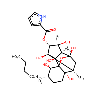 CC(C)[C@@]1(O)[C@@H](OC(=O)c2ccc[nH]2)[C@@]2(O)[C@@]3(C)C[C@]4(O)O[C@@]5([C@H](O)[C@@H](C)CC[C@]35O)[C@@]2(O)[C@@]14C.O=C(O)CCC(=O)O